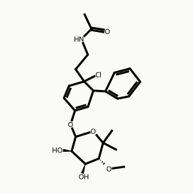 CO[C@@H]1[C@@H](O)[C@@H](O)C(OC2=CC(c3ccccc3)C(Cl)(CCNC(C)=O)C=C2)OC1(C)C